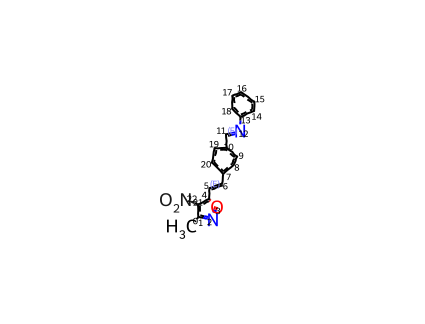 Cc1noc(/C=C/c2ccc(/C=N/c3ccccc3)cc2)c1[N+](=O)[O-]